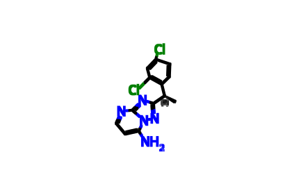 C[C@@H](c1nc2nccc(N)n2n1)c1ccc(Cl)cc1Cl